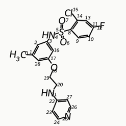 Cc1cc(NS(=O)(=O)c2ccc(F)cc2Cl)cc(OCCNc2ccncc2)c1